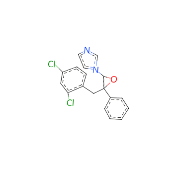 Clc1ccc(CC2(c3ccccc3)OC2n2ccnc2)c(Cl)c1